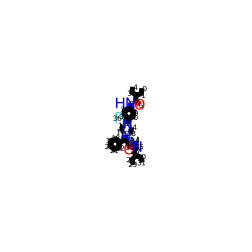 CCC(CC)C(=O)Nc1ccc(N2CCN(C(c3ccccc3)c3nnc(C(CC)CC)o3)CC2)c(F)c1